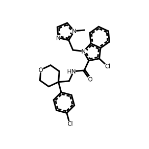 Cn1ccnc1Cn1c(C(=O)NCC2(c3ccc(Cl)cc3)CCOCC2)c(Cl)c2ccccc21